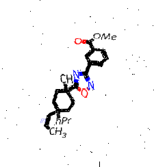 C/C=C\C1(CCC)CCC(C)(c2nc(-c3cccc(C(=O)OC)c3)no2)CC1